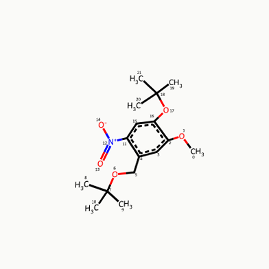 COc1cc(COC(C)(C)C)c([N+](=O)[O-])cc1OC(C)(C)C